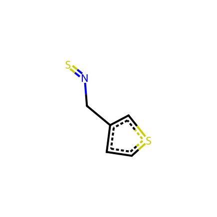 S=NCc1ccsc1